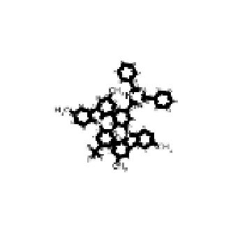 Cc1ccc2c(c1)c1cc(C)ccc1n2-c1cc(-c2nc(-c3ccccc3)nc(-c3ccccc3)n2)ccc1-c1ccc(C(F)(F)F)cc1-n1c2ccc(C)cc2c2cc(C)ccc21